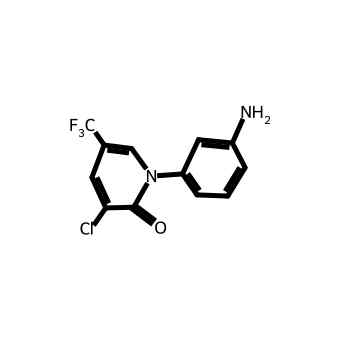 Nc1cccc(-n2cc(C(F)(F)F)cc(Cl)c2=O)c1